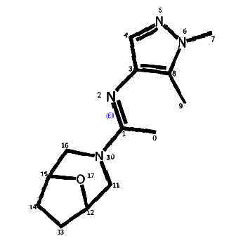 C/C(=N\c1cnn(C)c1C)N1CC2CCC(C1)O2